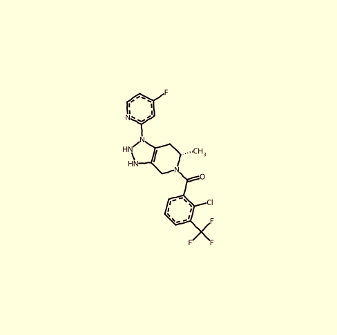 C[C@H]1CC2=C(CN1C(=O)c1cccc(C(F)(F)F)c1Cl)NNN2c1cc(F)ccn1